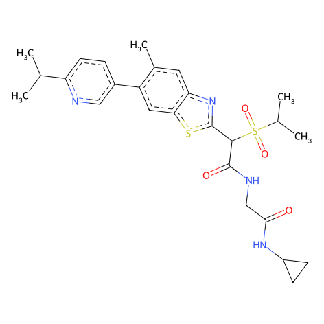 Cc1cc2nc(C(C(=O)NCC(=O)NC3CC3)S(=O)(=O)C(C)C)sc2cc1-c1ccc(C(C)C)nc1